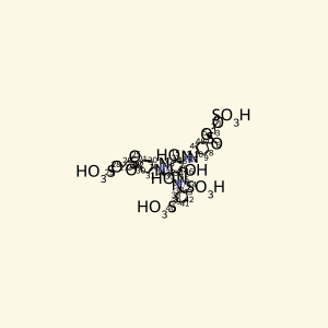 O=S(=O)(O)OCCS(=O)(=O)c1ccc(/N=N/c2c(O)c(/N=N/c3ccc(S(=O)(=O)CCOS(=O)(=O)O)cc3)c(O)c(/N=N/c3cc(S(=O)(=O)O)ccc3S(=O)(=O)O)c2O)cc1